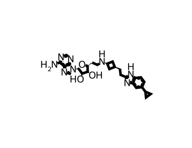 Nc1ncnc2c1ncn2[C@@H]1O[C@H](CCN[C@H]2C[C@H](CCc3nc4cc(C5CC5)ccc4[nH]3)C2)[C@@H](O)[C@H]1O